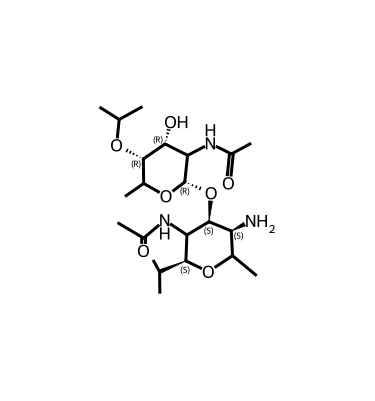 CC(=O)NC1[C@H](O[C@@H]2C(NC(C)=O)[C@H](C(C)C)OC(C)[C@@H]2N)OC(C)[C@H](OC(C)C)[C@@H]1O